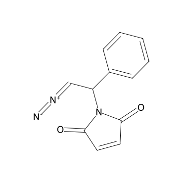 [N-]=[N+]=CC(c1ccccc1)N1C(=O)C=CC1=O